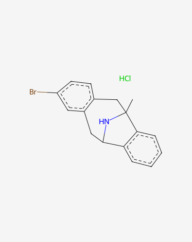 CC12Cc3ccc(Br)cc3CC(N1)c1ccccc12.Cl